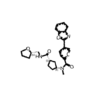 CN(C(=O)c1ccc(-c2nc3ccccc3o2)cc1)[C@@H]1CC[C@H](C(=O)NC[C@@H]2CCCO2)C1